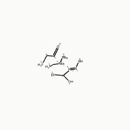 CC(C)(C)NN.CCC(O)/N=N/C(C)(C)C.CCC=O